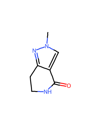 Cn1cc2c(n1)CCNC2=O